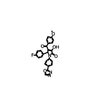 COc1ccc(C(=O)C2=C(O)C(=O)N(c3ccc(-c4nnco4)cc3)C2c2ccc(F)cc2)cc1